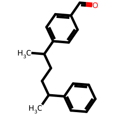 CC(CCC(C)c1ccc(C=O)cc1)c1ccccc1